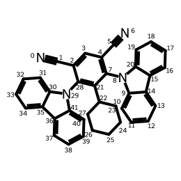 N#Cc1cc(C#N)c(-n2c3ccccc3c3ccccc32)c(C2CCCCC2)c1-n1c2ccccc2c2ccccc21